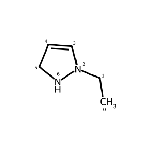 CCN1C=CCN1